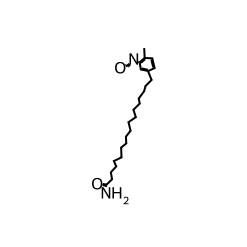 Cc1ccc(CCCCCCCCCCCCCCCCCC(N)=O)cc1N=C=O